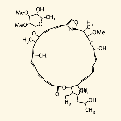 COC1CC(O)/C=C/C=C/C=C\C(C)C(C(C)C(O)CC(C)O)OC(=O)\C=C/C=C/C=C\C(C)=C\C(C)C(O[C@H]2O[C@H](C)[C@@H](O)[C@H](OC)[C@H]2OC)/C=C\C=C\c2coc(n2)C1C